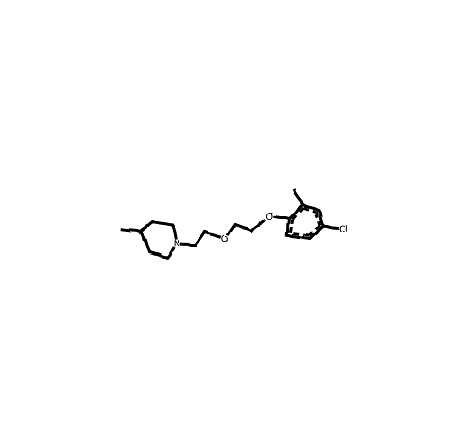 Cc1cc(Cl)ccc1OCCOCCN1CCC(C)CC1